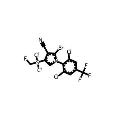 N#Cc1c(S(Cl)(Cl)CF)cn(-c2c(Cl)cc(C(F)(F)F)cc2Cl)c1Br